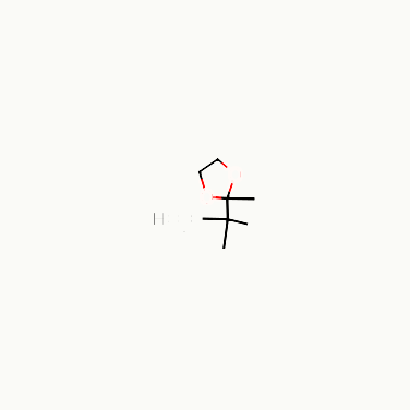 CC1(C(C)(C)C(=O)O)OCCO1